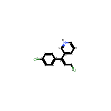 ClC/C=C(/c1ccc(Cl)cc1)c1cccnc1